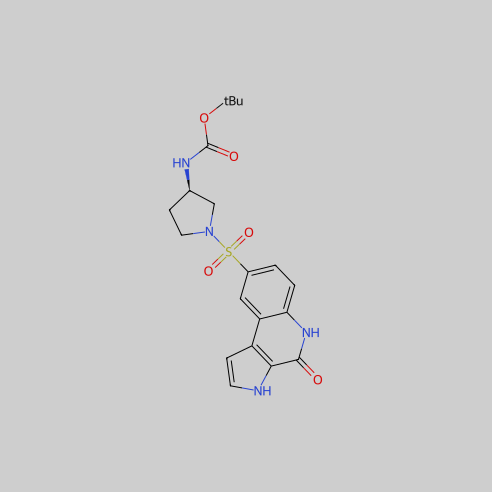 CC(C)(C)OC(=O)N[C@@H]1CCN(S(=O)(=O)c2ccc3[nH]c(=O)c4[nH]ccc4c3c2)C1